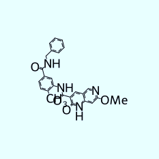 COc1cc2[nH]c(=O)c(C(=O)Nc3cc(C(=O)NCc4ccccc4)ccc3C)cc2cn1